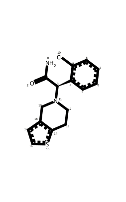 NC(=O)[C@@H](c1ccccc1Cl)N1CCc2sccc2C1